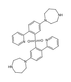 O=S(=O)(c1cc(N2CCCNCC2)ccc1-c1ccccn1)c1cc(N2CCCNCC2)ccc1-c1ccccn1